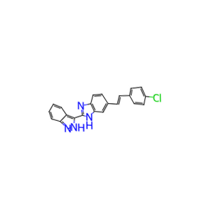 Clc1ccc(/C=C/c2ccc3nc(-c4[nH]nc5ccccc45)[nH]c3c2)cc1